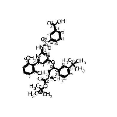 Cc1cccc(C)c1-c1cc(OC(CN(C)C(=O)OC(C)(C)C)c2cccc(C(C)(C)C)c2)nc(NS(=O)(=O)c2cccc(C(=O)O)c2)n1